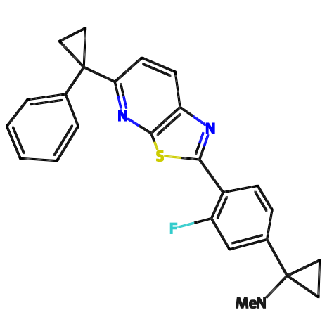 CNC1(c2ccc(-c3nc4ccc(C5(c6ccccc6)CC5)nc4s3)c(F)c2)CC1